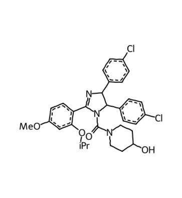 COc1ccc(C2=NC(c3ccc(Cl)cc3)C(c3ccc(Cl)cc3)N2C(=O)N2CCC(O)CC2)c(OC(C)C)c1